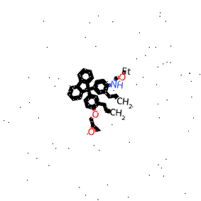 C=CCc1cc(C2(c3ccc(OCC4CO4)c(CC=C)c3)c3ccccc3C3C=CC=CC32)ccc1NCOCC